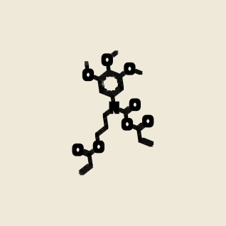 C=CC(=O)OCCCN(C(=O)OC(=O)C=C)c1cc(OC)c(OC)c(OC)c1